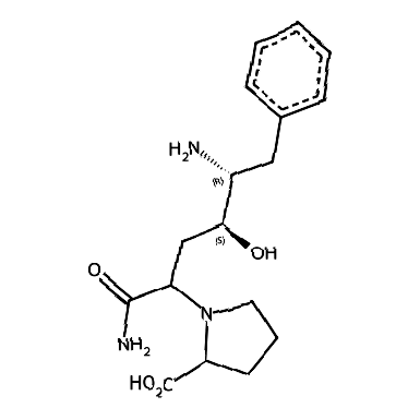 NC(=O)C(C[C@H](O)[C@H](N)Cc1ccccc1)N1CCCC1C(=O)O